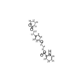 O=C(OCCCOc1ccc(CCOC2CCCCO2)cc1)C1=CCC=CN1